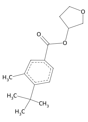 Cc1cc(C(=O)OC2CCOC2)ccc1C(C)(C)C